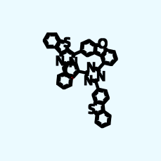 c1ccc(-c2nc(-c3ccc4c(c3)sc3ccccc34)nc(-c3cccc4oc5ccc(-c6nc(-c7ccccc7)nc7c6sc6ccccc67)cc5c34)n2)cc1